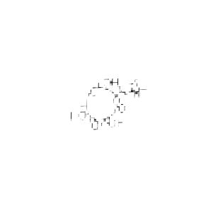 C/C(=C\c1csc(C)n1)[C@@H]1C[C@H](O)C(C)CCCC(C)[C@H](O)C(C)C(=O)C(C)(C)C(O)CC(=O)O1